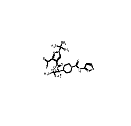 BC(B)(B)n1cc(S(=O)(=O)[C@@](F)(C2CCN(C(=O)Nc3ccon3)CC2)C(B)(B)B)c(C(F)F)n1